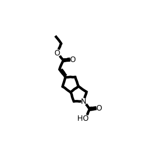 CCOC(=O)C=C1CC2CN(C(=O)O)CC2C1